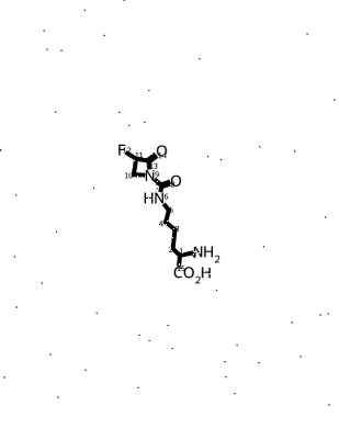 NC(CCCCNC(=O)N1CC(F)C1=O)C(=O)O